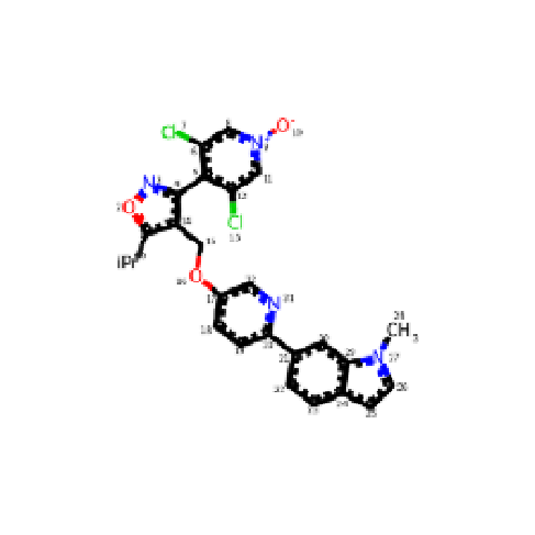 CC(C)c1onc(-c2c(Cl)c[n+]([O-])cc2Cl)c1COc1ccc(-c2ccc3ccn(C)c3c2)nc1